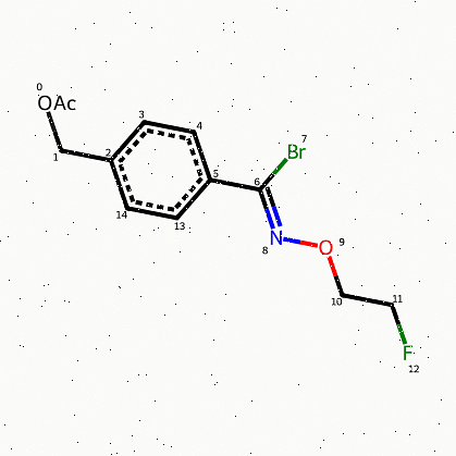 CC(=O)OCc1ccc(C(Br)=NOCCF)cc1